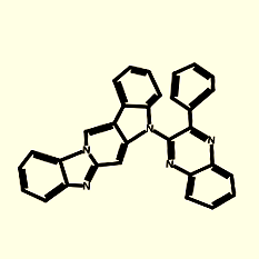 c1ccc(-c2nc3ccccc3nc2-n2c3ccccc3c3cn4c(cc32)nc2ccccc24)cc1